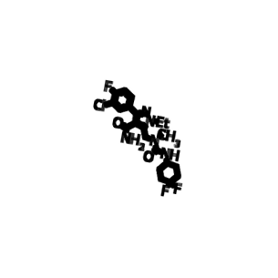 CCn1nc(-c2ccc(F)c(Cl)c2)c(C(N)=O)c1CN(C)C(=O)NC1CCC(F)(F)CC1